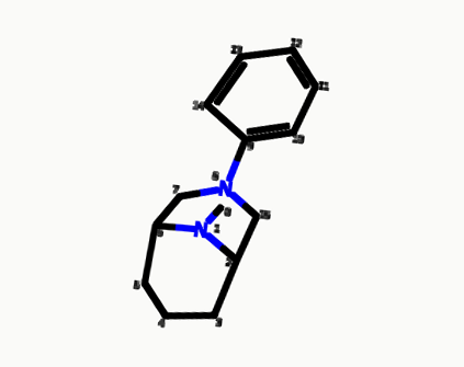 CN1C2CCCC1CN(c1ccccc1)C2